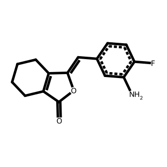 Nc1cc(C=C2OC(=O)C3=C2CCCC3)ccc1F